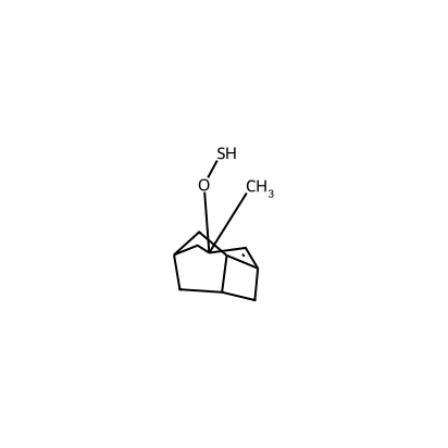 CC1(OS)C=C2CC3CC(CC23)C1